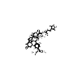 CC(=O)O[C@]1(C(=O)COC(=O)CCC2CCCC2)CC[C@H]2[C@@H]3CCC4=CC(=O)CCC4=C3C(c3ccc(N(C)C)cc3)C[C@@]21C